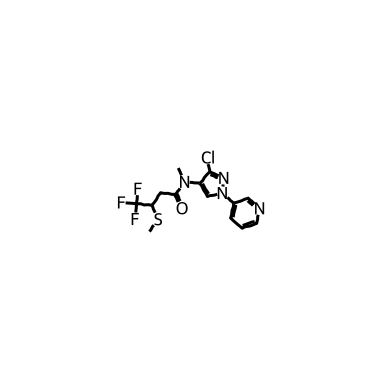 CSC(CC(=O)N(C)c1cn(-c2cccnc2)nc1Cl)C(F)(F)F